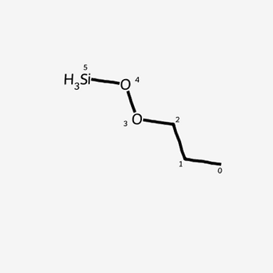 CCCOO[SiH3]